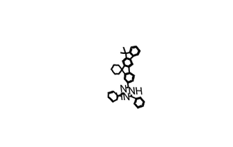 CC1(C)c2ccccc2-c2cc3c(cc21)C1(CCCCC1)c1cc(C2N=C(C4C=CC=CC4)NC(c4ccccc4)N2)ccc1-3